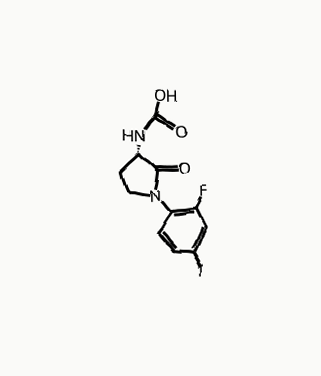 O=C(O)N[C@H]1CCN(c2ccc(I)cc2F)C1=O